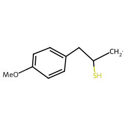 [CH2]C(S)Cc1ccc(OC)cc1